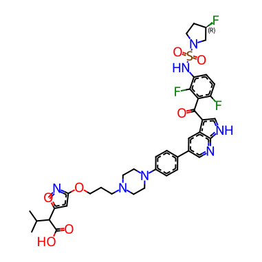 CC(C)C(C(=O)O)c1cc(OCCCN2CCN(c3ccc(-c4cnc5[nH]cc(C(=O)c6c(F)ccc(NS(=O)(=O)N7CC[C@@H](F)C7)c6F)c5c4)cc3)CC2)no1